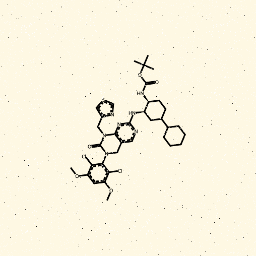 COc1cc(OC)c(Cl)c(N2Cc3cnc(N[C@@H]4CC(C5CCCCC5)CC[C@@H]4NC(=O)OC(C)(C)C)nc3N(Cc3cscn3)C2=O)c1Cl